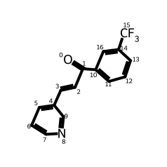 O=C(/C=C/c1cccnc1)c1cccc(C(F)(F)F)c1